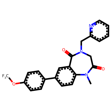 CN1C(=O)CN(Cc2ccccn2)C(=O)c2cc(-c3ccc(OC(F)(F)F)cc3)ccc21